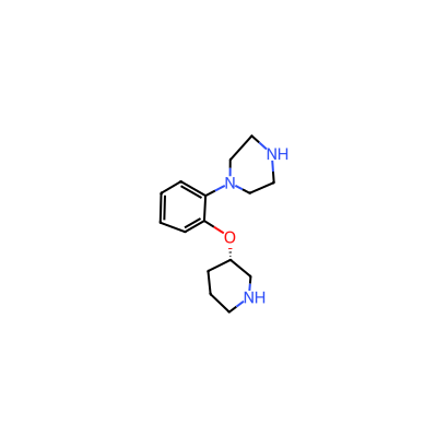 c1ccc(N2CCNCC2)c(O[C@H]2CCCNC2)c1